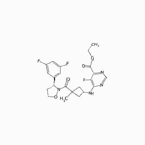 CCOC(=O)c1ncnc(NC2CC(C)(C(=O)N3OCC[C@H]3c3cc(F)cc(F)c3)C2)c1F